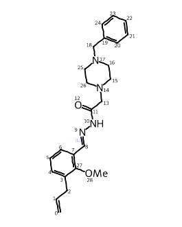 C=CCc1cccc(/C=N/NC(=O)CN2CCN(Cc3ccccc3)CC2)c1OC